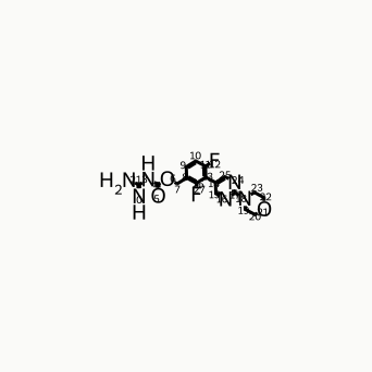 N=C(N)NC(=O)OCc1ccc(F)c(-c2cnc(N3CCOCC3)nc2)c1F